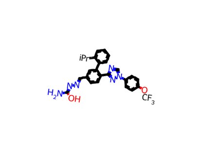 CC(C)c1ccccc1-c1cc(/C=N/N=C(/N)O)ccc1-c1ncn(-c2ccc(OC(F)(F)F)cc2)n1